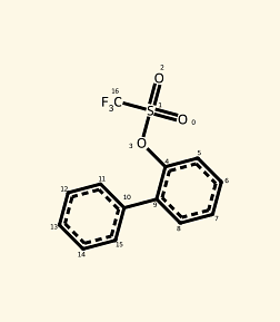 O=S(=O)(Oc1ccccc1-c1ccccc1)C(F)(F)F